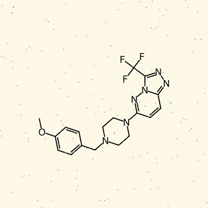 COc1ccc(CN2CCN(c3ccc4nnc(C(F)(F)F)n4n3)CC2)cc1